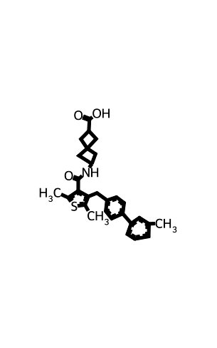 Cc1cccc(-c2ccc(Cc3c(C)sc(C)c3C(=O)NC3CC4(C3)CC(C(=O)O)C4)cc2)c1